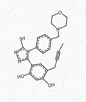 CC#CCc1cc(-c2nnc(S)n2-c2ccc(CN3CCOCC3)cc2)c(O)cc1O